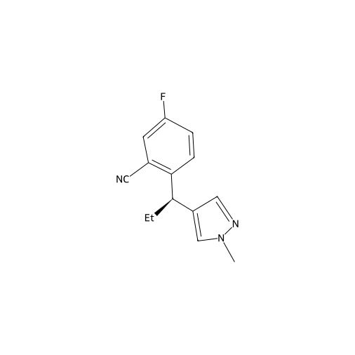 CC[C@H](c1cnn(C)c1)c1ccc(F)cc1C#N